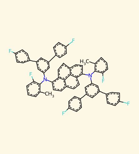 Cc1cccc(F)c1N(c1cc(-c2ccc(F)cc2)cc(-c2ccc(F)cc2)c1)c1ccc2ccc3c(N(c4cc(-c5ccc(F)cc5)cc(-c5ccc(F)cc5)c4)c4c(C)cccc4F)ccc4ccc1c2c43